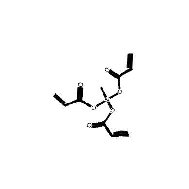 C=CC(=O)O[Si](C)(OC(=O)C=C)OC(=O)C=C